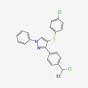 CCC(Cl)c1ccc(-c2nn(-c3ccccc3)cc2Sc2ccc(Cl)cc2)cc1